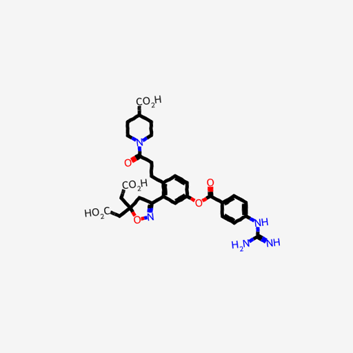 N=C(N)Nc1ccc(C(=O)Oc2ccc(CCC(=O)N3CCC(C(=O)O)CC3)c(C3=NOC(CC(=O)O)(CC(=O)O)C3)c2)cc1